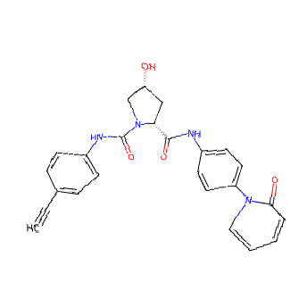 C#Cc1ccc(NC(=O)N2C[C@H](O)C[C@@H]2C(=O)Nc2ccc(-n3ccccc3=O)cc2)cc1